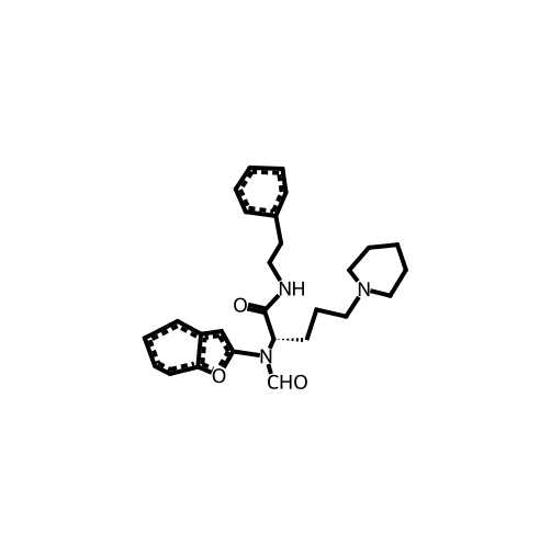 O=CN(c1cc2ccccc2o1)[C@@H](CCCN1CCCCC1)C(=O)NCCc1ccccc1